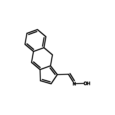 ON=CC1=C2Cc3ccccc3C=C2C=C1